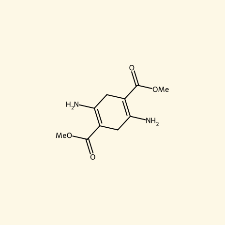 COC(=O)C1=C(N)CC(C(=O)OC)=C(N)C1